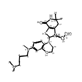 CN(C)CCCN(C)c1ccc2c(c1)OCCN2C1SC2=C(CC(C)(C)NC2=O)N1OC=O